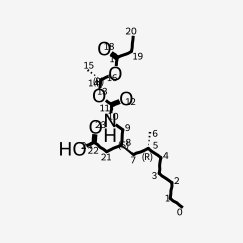 CCCCC[C@@H](C)C[C@H](CNC(=O)O[C@H](C)OC(=O)CC)CC(=O)O